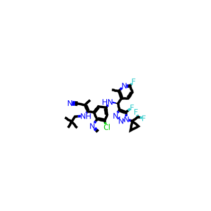 C=Nc1c(Cl)cc(N[C@@H](c2ccc(F)nc2C)c2nnn(C3(C(F)F)CC3)c2F)cc1/C(NCC(C)(C)C)=C(\C)C#N